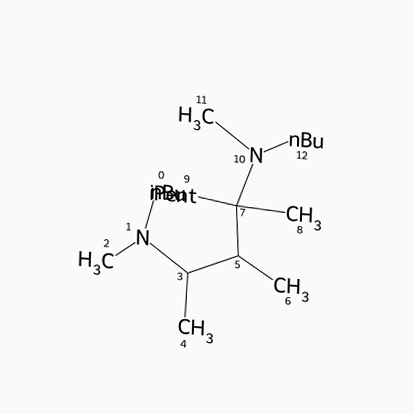 CCCCN(C)C(C)C(C)C(C)(C(C)CCC)N(C)CCCC